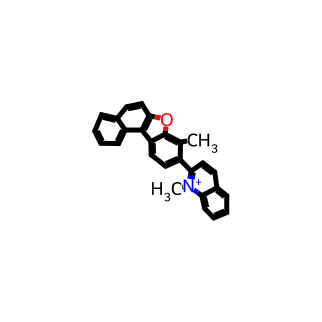 Cc1c(-c2ccc3ccccc3[n+]2C)ccc2c1oc1ccc3ccccc3c12